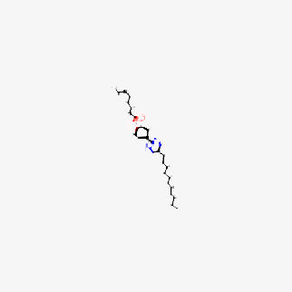 CCCCCCCCCCCc1cnc(-c2ccc(OC(=O)CCCC[C@@H](C)CC)cc2)nc1